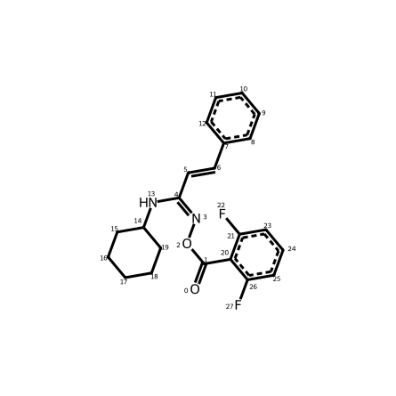 O=C(ON=C(/C=C/c1ccccc1)NC1CCCCC1)c1c(F)cccc1F